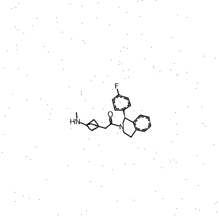 CNC12CC(CC(=O)N3CCc4ccccc4[C@@H]3c3ccc(F)cc3)(C1)C2